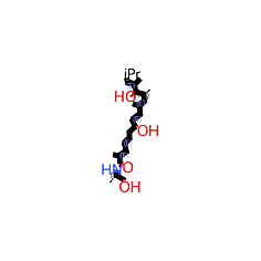 CC(/C=C/C(O)C/C=C/C=C(\C)C(=O)N[C@@H](C)CO)=C\[C@@H](C)[C@@H](O)/C(C)=C/C(C)C